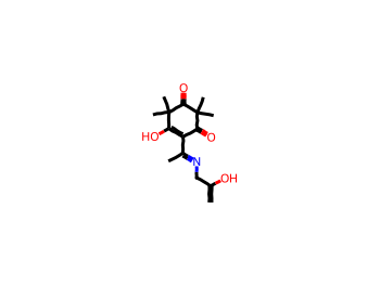 C=C(O)CN=C(C)C1=C(O)C(C)(C)C(=O)C(C)(C)C1=O